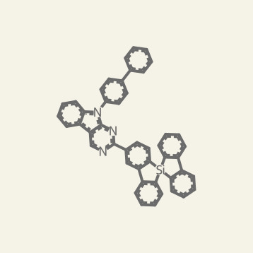 c1ccc(-c2ccc(-n3c4ccccc4c4cnc(-c5ccc6c(c5)-c5ccccc5[Si]65c6ccccc6-c6ccccc65)nc43)cc2)cc1